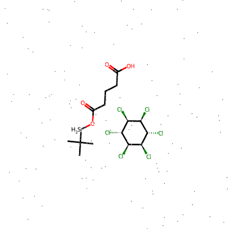 CC(C)(C)[SiH2]OC(=O)CCCC(=O)O.Cl[C@H]1[C@H](Cl)[C@@H](Cl)[C@@H](Cl)[C@H](Cl)[C@H]1Cl